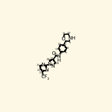 O=C(Nc1ccc(C2CNCCO2)cc1)c1cnn(-c2nccc(C(F)(F)F)n2)c1